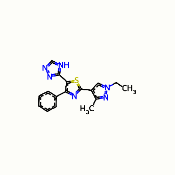 CCn1cc(-c2nc(-c3ccccc3)c(-c3nnc[nH]3)s2)c(C)n1